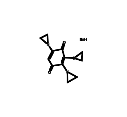 O=C1C=C(N2CC2)C(=O)C(N2CC2)=C1N1CC1.[NaH]